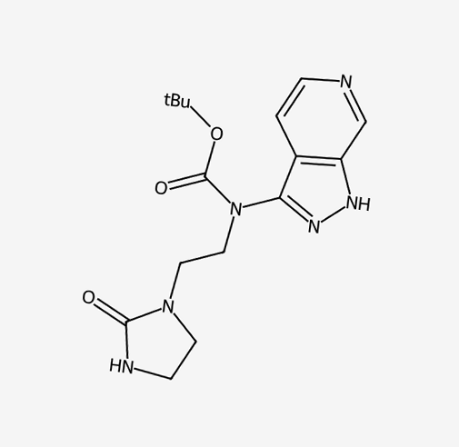 CC(C)(C)OC(=O)N(CCN1CCNC1=O)c1n[nH]c2cnccc12